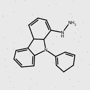 NNC1=CC=CC2c3ccccc3N(C3=CCCC=C3)C12